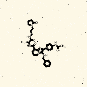 CC(=O)Nc1ccc(-c2nc3c(C(=O)NC(C)C(=O)NCCCN4CCCC4=O)cccn3c2NCc2ccccc2)cc1